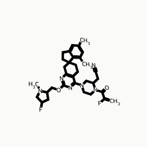 C=C(F)C(=O)N1CCN(c2nc(OCC3CC(F)CN3C)nc3c2CCC2(CCc4cc(C)cc(C)c42)C3)CC1CC#N